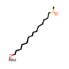 CCCCOCCCCCCCCCCCCCC[S+](C)[O-]